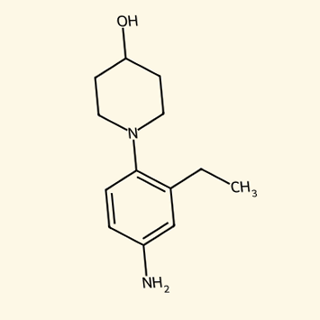 CCc1cc(N)ccc1N1CCC(O)CC1